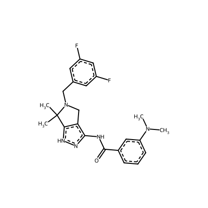 CN(C)c1cccc(C(=O)Nc2n[nH]c3c2CN(Cc2cc(F)cc(F)c2)C3(C)C)c1